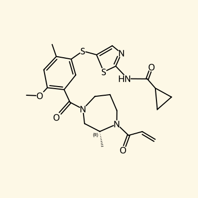 C=CC(=O)N1CCCN(C(=O)c2cc(Sc3cnc(NC(=O)C4CC4)s3)c(C)cc2OC)C[C@H]1C